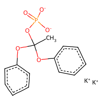 CC(Oc1ccccc1)(Oc1ccccc1)OP(=O)([O-])[O-].[K+].[K+]